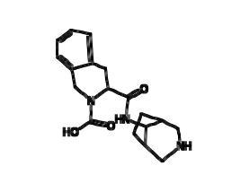 O=C(NC1C2CCC1CNC2)C1Cc2ccccc2CN1C(=O)O